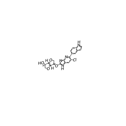 O[C@@H]1CO[C@H]2[C@@H]1OC[C@H]2Oc1nc2nc(-c3ccc4[nH]ccc4c3)c(Cl)cc2[nH]1